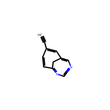 C#CC1=CC2=CN=CN=C(C=C1)C2